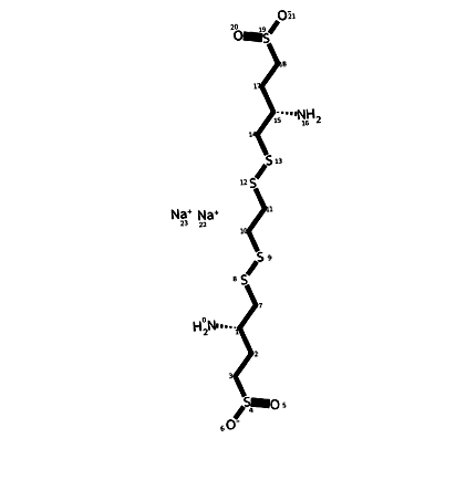 N[C@@H](CCS(=O)[O-])CSSCCSSC[C@@H](N)CCS(=O)[O-].[Na+].[Na+]